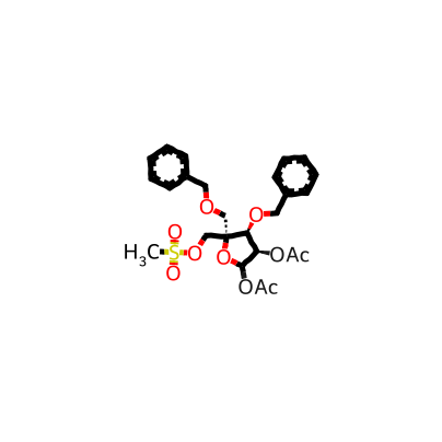 CC(=O)OC1O[C@@](COCc2ccccc2)(COS(C)(=O)=O)[C@@H](OCc2ccccc2)[C@H]1OC(C)=O